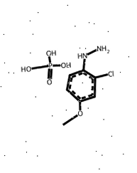 COc1ccc(NN)c(Cl)c1.O=P(O)(O)O